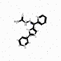 NC(=O)N/N=C(/c1ccccn1)c1cnc(-c2cccnc2)s1